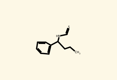 CCCC(N[C]=S)c1ccccc1